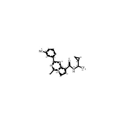 Cc1nc(-c2cccc(C#N)c2)nc2c(C(=O)NC(C3CC3)C(F)(F)F)ccn12